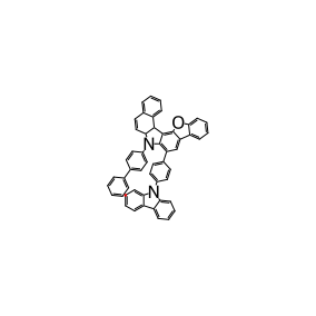 C1=CC2C(c3ccccc31)c1c(c(-c3ccc(-n4c5ccccc5c5ccccc54)cc3)cc3c1oc1ccccc13)N2c1ccc(-c2ccccc2)cc1